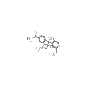 CCc1cc([C@@](O)(c2ccc(C(C)C)cc2)C2(C)CN(C)C2)ccn1